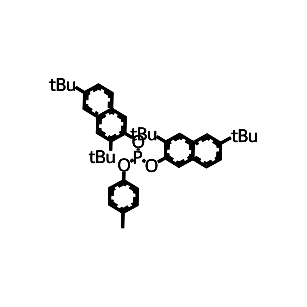 Cc1ccc(OP(Oc2cc3ccc(C(C)(C)C)cc3cc2C(C)(C)C)Oc2cc3ccc(C(C)(C)C)cc3cc2C(C)(C)C)cc1